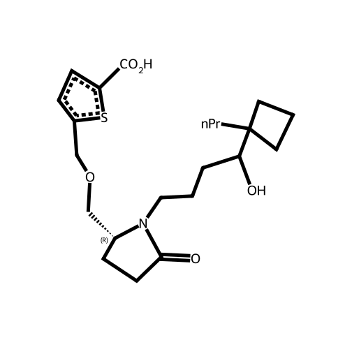 CCCC1(C(O)CCCN2C(=O)CC[C@@H]2COCc2ccc(C(=O)O)s2)CCC1